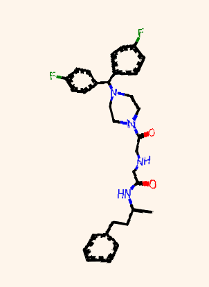 CC(CCc1ccccc1)NC(=O)CNCC(=O)N1CCN(C(c2ccc(F)cc2)c2ccc(F)cc2)CC1